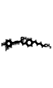 CCCCCC1CCC(CC(O)C#Cc2ccc(F)c(F)c2)CC1